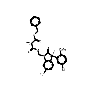 COc1ccc(Cl)cc1[C@]1(F)C(=O)N(COC(=O)[C@@H](C)C(=O)OCc2ccccc2)c2cc(C(F)(F)F)ccc21